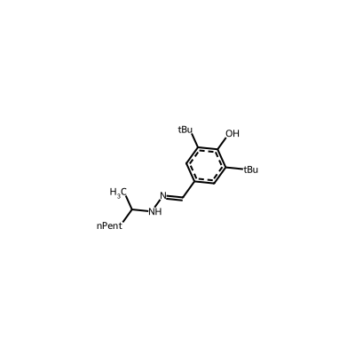 CCCCCC(C)N/N=C/c1cc(C(C)(C)C)c(O)c(C(C)(C)C)c1